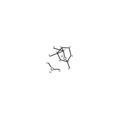 CC12CCC(CC1)C(C)(C)O2.COC